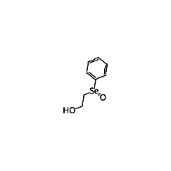 O=[Se](CCO)c1ccccc1